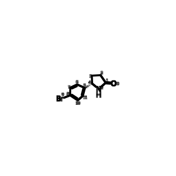 O=C1CC[C@@H](c2ccc(Br)cc2)N1